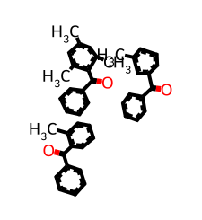 Cc1cc(C)c(C(=O)c2ccccc2)c(C)c1.Cc1cccc(C(=O)c2ccccc2)c1.Cc1ccccc1C(=O)c1ccccc1